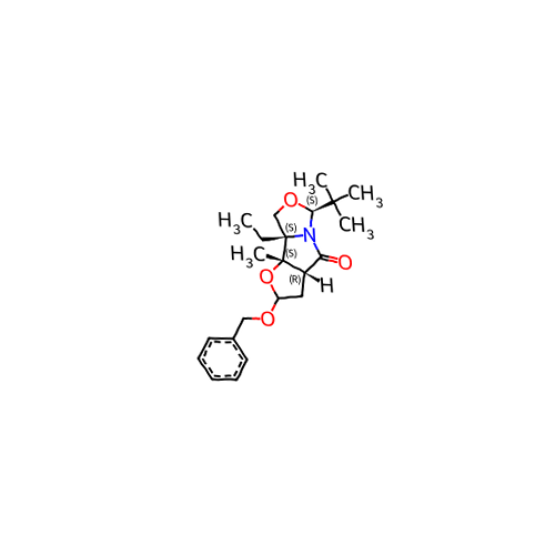 CC[C@@]12CO[C@@H](C(C)(C)C)N1C(=O)[C@@H]1CC(OCc3ccccc3)O[C@@]12C